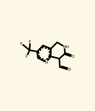 O=CC1C(=O)NCc2cc(C(F)(F)F)cnc21